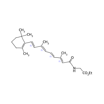 CCOC(=O)CNC(=O)/C=C(C)/C=C/C=C(C)/C=C/C1=C(C)CCCC1(C)C